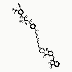 C[C@](O)(CS(=O)(=O)c1ccc(NCCCOCCCN2CCN(C(=O)c3cc(Cc4n[nH]c(=O)c5ccccc45)ccc3F)CC2)cc1)C(=O)Nc1ccc(C#N)c(C(F)(F)F)c1